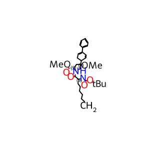 C=CCCCCC[C@H](NC(=O)OC(C)(C)C)C(=O)N1C[C@](OC)(C2C=CC(c3ccccc3)=CC2)C[C@H]1C(=O)OC